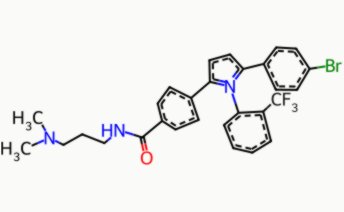 CN(C)CCCNC(=O)c1ccc(-c2ccc(-c3ccc(Br)cc3)n2-c2ccccc2C(F)(F)F)cc1